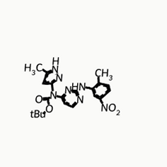 Cc1cc(N(C(=O)OC(C)(C)C)c2ccnc(Nc3cc([N+](=O)[O-])ccc3C)n2)n[nH]1